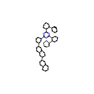 c1cccc(-c2ccccc2-c2nc(-c3cccc(-c4ccc5cc(-c6ccc7ccccc7c6)ccc5c4)c3)nc(-c3ccccc3C3=CC=CCC3)n2)c#1